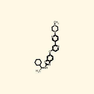 C[C@H](Nc1nc2ccc(Oc3ccnc(-c4ccc(N5CCN(C)CC5)nc4)c3)cc2s1)C1CCCCC1